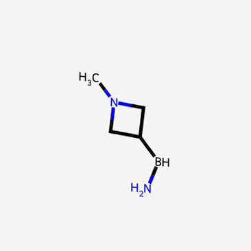 CN1CC(BN)C1